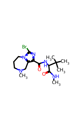 CNC(=O)C(NC(=O)c1nc(Br)n2c1CN(C)CCC2)C(C)(C)C